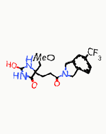 COCC1(CCC(=O)N2Cc3ccc(C(F)(F)F)cc3C2)NC(O)NC1=O